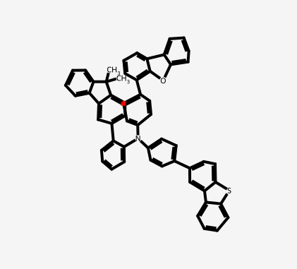 CC1(C)c2ccccc2-c2cc(-c3ccccc3N(c3ccc(-c4ccc5sc6ccccc6c5c4)cc3)c3ccc(-c4cccc5c4oc4ccccc45)cc3)ccc21